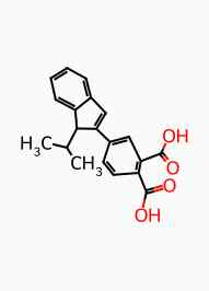 CC(C)C1C(c2ccc(C(=O)O)c(C(=O)O)c2)=Cc2ccccc21